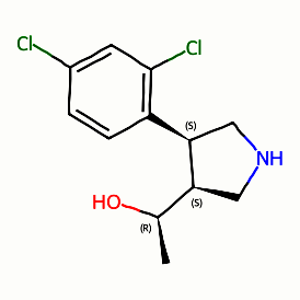 C[C@@H](O)[C@@H]1CNC[C@@H]1c1ccc(Cl)cc1Cl